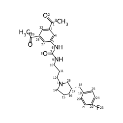 CC(=O)c1cc(NC(=O)NCCCN2CCC[C@@H](Cc3ccc(F)cc3)C2)cc(C(C)=O)c1